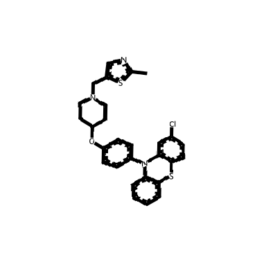 Cc1ncc(CN2CCC(Oc3ccc(N4c5ccccc5Sc5ccc(Cl)cc54)cc3)CC2)s1